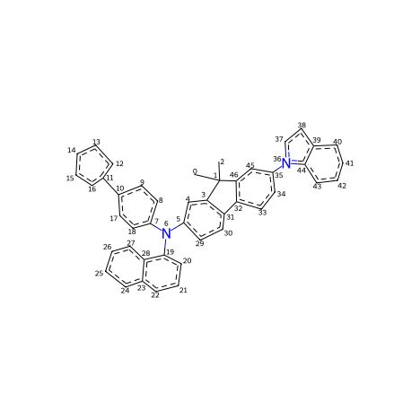 CC1(C)c2cc(N(c3ccc(-c4ccccc4)cc3)c3cccc4ccccc34)ccc2-c2ccc(-n3ccc4ccccc43)cc21